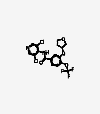 O=C(Nc1c(Cl)cncc1Cl)c1ccc(OC(F)(F)F)c(OC2CCOC2)c1